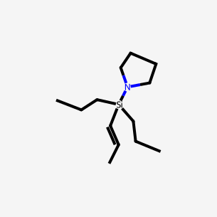 CC=C[Si](CCC)(CCC)N1CCCC1